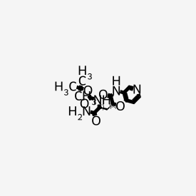 CC(C)(C)OC(=O)N[C@@H](C[C@H]1Oc2ccncc2NC1=O)C(N)=O